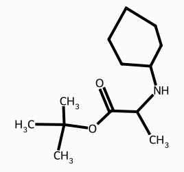 CC(NC1CCCCC1)C(=O)OC(C)(C)C